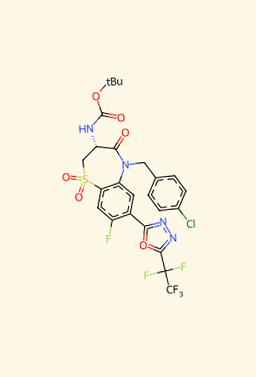 CC(C)(C)OC(=O)N[C@H]1CS(=O)(=O)c2cc(F)c(-c3nnc(C(F)(F)C(F)(F)F)o3)cc2N(Cc2ccc(Cl)cc2)C1=O